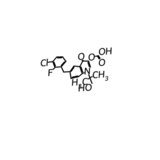 CC(C)(CO)n1cc(OC(=O)O)c(=O)c2cc(Cc3cccc(Cl)c3F)ccc21